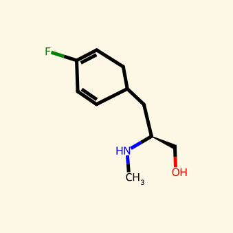 CN[C@H](CO)CC1C=CC(F)=CC1